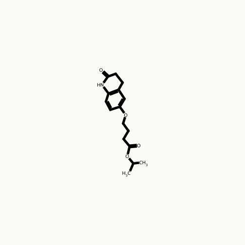 CC(C)OC(=O)CCCOc1ccc2c(c1)CCC(=O)N2